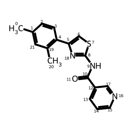 Cc1ccc(-c2csc(NC(=O)c3cccnc3)n2)c(C)c1